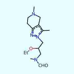 CCOC(CN(C)C=O)Cn1nc2c(c1C)CN(C)CC2